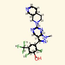 Cn1nc(-c2cc(C(F)(F)F)c(F)c(O)c2F)c2cnc(N3CCc4ccncc4C3)nc21